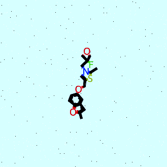 Cc1cc2cc(OCC3=CN(CC4(F)COC4)C(C)S3)ccc2o1